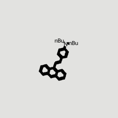 CCCCN(CCCC)c1ccc(C=Cc2c3ccccc3cc3ccccc23)cc1